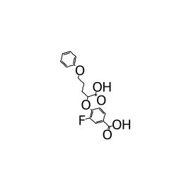 O=C(O)c1ccc(OC(CCCOc2ccccc2)C(=O)O)c(F)c1